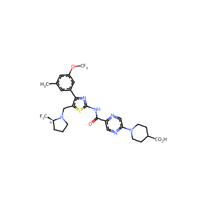 Cc1cc(OC(F)(F)F)cc(-c2nc(NC(=O)c3cnc(N4CCC(C(=O)O)CC4)cn3)sc2CN2CCC[C@H]2C(F)(F)F)c1